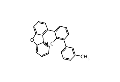 Cc1cccc(-c2cccc(-c3cccc4oc5ccccc5c34)c2C)c1